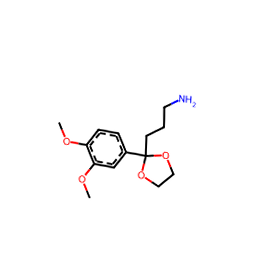 COc1ccc(C2(CCCN)OCCO2)cc1OC